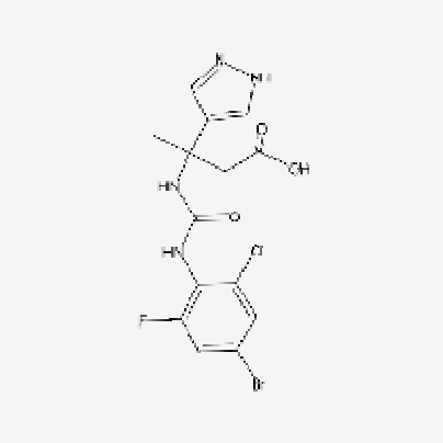 CC(CC(=O)O)(NC(=O)Nc1c(F)cc(Br)cc1Cl)c1cn[nH]c1